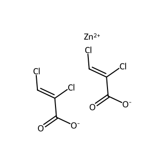 O=C([O-])C(Cl)=CCl.O=C([O-])C(Cl)=CCl.[Zn+2]